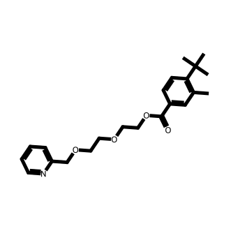 Cc1cc(C(=O)OCCOCCOCc2ccccn2)ccc1C(C)(C)C